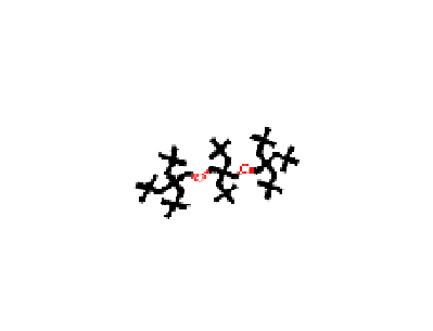 CC(C)(C)CC(COCC(CC(C)(C)C)(CC(C)(C)C)CC(C)(C)C)(COCC(CC(C)(C)C)(CC(C)(C)C)CC(C)(C)C)CC(C)(C)C